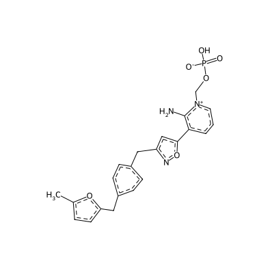 Cc1ccc(Cc2ccc(Cc3cc(-c4ccc[n+](COP(=O)([O-])O)c4N)on3)cc2)o1